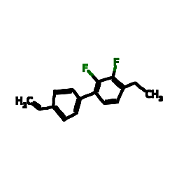 C=Cc1ccc(-c2ccc(CC)c(F)c2F)cc1